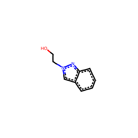 OCCn1cc2cc[c]cc2n1